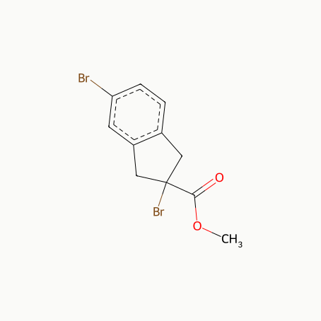 COC(=O)C1(Br)Cc2ccc(Br)cc2C1